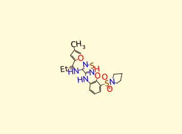 CC[C@@H](Nc1nsnc1Nc1cccc(S(=O)(=O)N2CCCC2)c1O)c1cc(C)co1